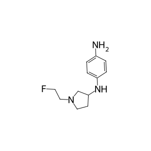 Nc1ccc(NC2CCN(CCF)C2)cc1